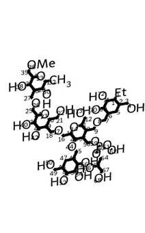 CCC1C(CO)CC(COCC2C(CO)OC(COCC3C(CO)OC(COCC4C(O)C(C)OC(COC)C4O)C(O)C3O)C(OCC3CC(CO)C(O)C(O)C3O)C2COP(OO)OCC(O)CO)C(O)C1O